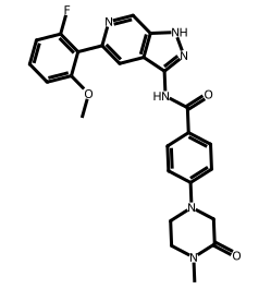 COc1cccc(F)c1-c1cc2c(NC(=O)c3ccc(N4CCN(C)C(=O)C4)cc3)n[nH]c2cn1